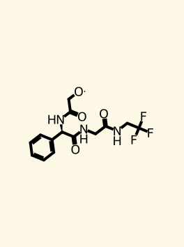 [O]CC(=O)N[C@@H](C(=O)NCC(=O)NCC(F)(F)F)c1ccccc1